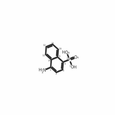 Nc1ccc(P(=O)(O)O)c2ccccc12